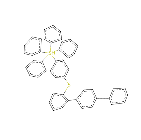 c1ccc(-c2ccc(-c3ccccc3Sc3ccc([SH](c4ccccc4)(c4ccccc4)(c4ccccc4)c4ccccc4)cc3)cc2)cc1